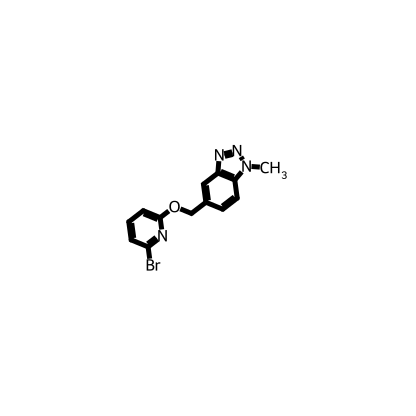 Cn1nnc2cc(COc3cccc(Br)n3)ccc21